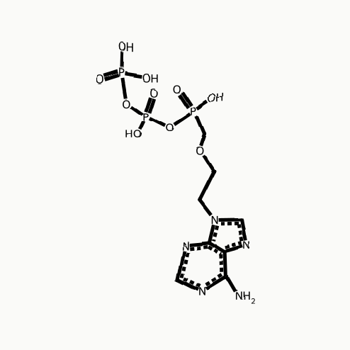 Nc1ncnc2c1ncn2CCOCP(=O)(O)OP(=O)(O)OP(=O)(O)O